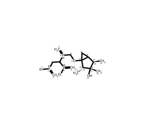 C=[PH](CC)CC([PH](=C)CC)[PH](=C)COC12CC1[C@@H](C)[C@](C)(O)[C@@H]2C